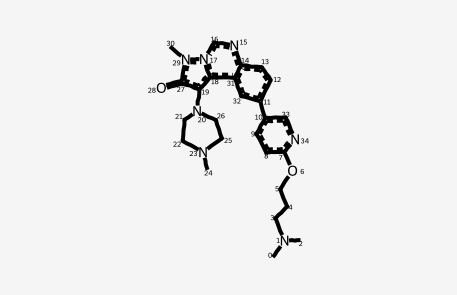 CN(C)CCCOc1ccc(-c2ccc3ncn4c(c(N5CCN(C)CC5)c(=O)n4C)c3c2)cn1